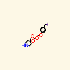 CC1(OC(=O)OCOc2ccc(CI)cc2)CCNCC1